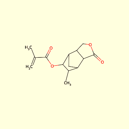 C=C(C)C(=O)OC1C(C)C2CC1C1COC(=O)C21